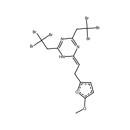 COc1ccc(CC=C2N=C(CC(Br)(Br)Br)N=C(CC(Br)(Br)Br)N2)o1